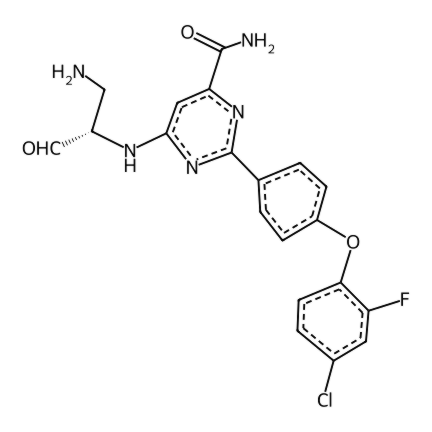 NC[C@@H](C=O)Nc1cc(C(N)=O)nc(-c2ccc(Oc3ccc(Cl)cc3F)cc2)n1